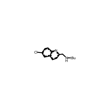 CC(C)(C)NCc1ccc2cc(Cl)ccc2n1